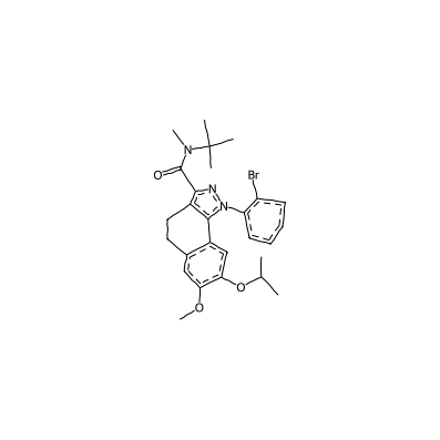 COc1cc2c(cc1OC(C)C)-c1c(c(C(=O)N(C)C(C)(C)C)nn1-c1ccccc1Br)CC2